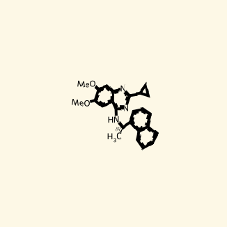 COc1cc2nc(C3CC3)nc(N[C@@H](C)c3cccc4ccccc34)c2cc1OC